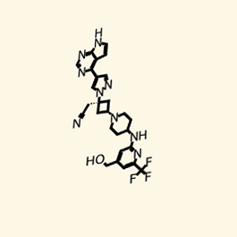 N#CC[C@]1(n2cc(-c3ncnc4[nH]ccc34)cn2)C[C@@H](N2CCC(Nc3cc(CO)cc(C(F)(F)F)n3)CC2)C1